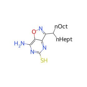 CCCCCCCCC(CCCCCCC)c1noc2c(N)nc(S)nc12